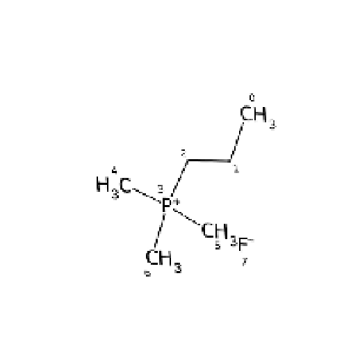 CCC[P+](C)(C)C.[F-]